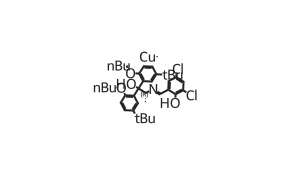 CCCCOc1ccc(C(C)(C)C)cc1C(O)(c1cc(C(C)(C)C)ccc1OCCCC)[C@@H](C)N=Cc1cc(Cl)cc(Cl)c1O.[Cu]